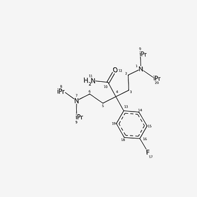 CC(C)N(CCC(CCN(C(C)C)C(C)C)(C(N)=O)c1ccc(F)cc1)C(C)C